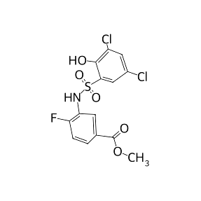 COC(=O)c1ccc(F)c(NS(=O)(=O)c2cc(Cl)cc(Cl)c2O)c1